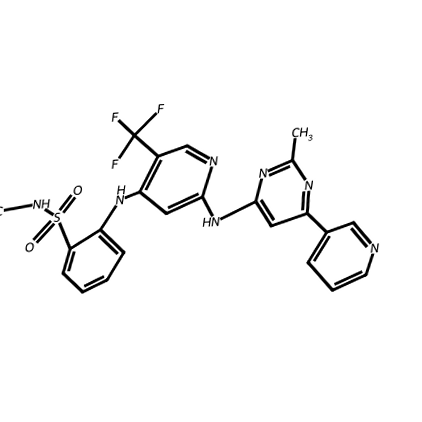 CNS(=O)(=O)c1ccccc1Nc1cc(Nc2cc(-c3cccnc3)nc(C)n2)ncc1C(F)(F)F